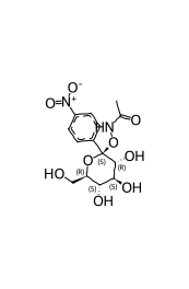 CC(=O)NO[C@]1(c2ccc([N+](=O)[O-])cc2)O[C@H](CO)[C@@H](O)[C@H](O)[C@H]1O